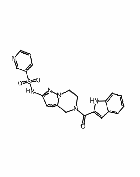 O=C(c1cc2ccccc2[nH]1)N1CCn2nc(NS(=O)(=O)c3cccnc3)cc2C1